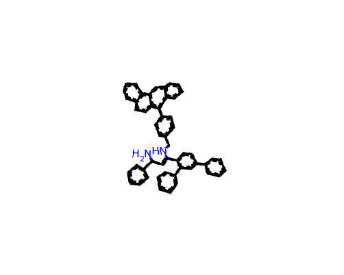 NC(/C=C(\NCc1ccc(-c2c3ccccc3cc3c2ccc2ccccc23)cc1)c1ccc(-c2ccccc2)cc1-c1ccccc1)c1ccccc1